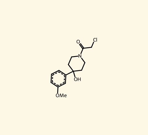 COc1cccc(C2(O)CCN(C(=O)CCl)CC2)c1